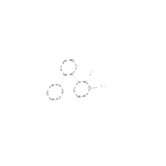 CC(C)c1cccc(-c2ccccc2-c2ccccc2)c1C(C)C